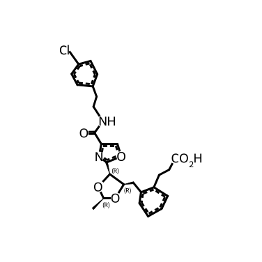 C[C@@H]1O[C@H](Cc2ccccc2CCC(=O)O)[C@H](c2nc(C(=O)NCCc3ccc(Cl)cc3)co2)O1